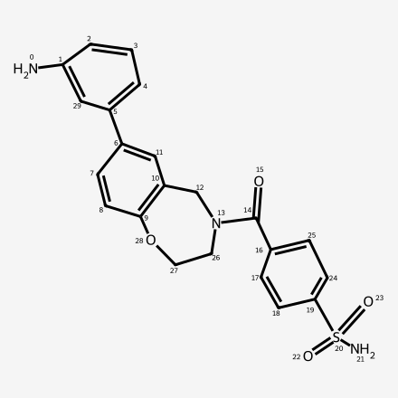 Nc1cccc(-c2ccc3c(c2)CN(C(=O)c2ccc(S(N)(=O)=O)cc2)CCO3)c1